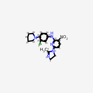 CC1=NCCN1c1ccc([N+](=O)[O-])c(Nc2ccc(N3CCCCC3)c(F)c2)n1